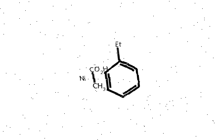 CC(=O)O.CCc1ccccc1.[Ni]